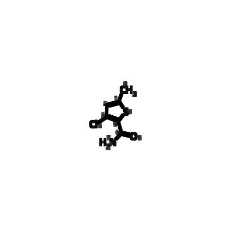 Cc1cc(Cl)c(C(N)=O)s1